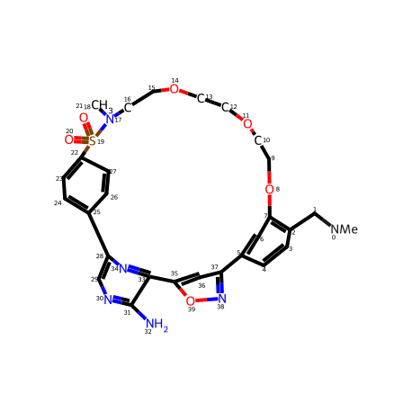 CNCc1ccc2cc1OCCOCCOCCN(C)S(=O)(=O)c1ccc(cc1)-c1cnc(N)c(n1)-c1cc-2no1